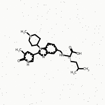 Cc1cc(-c2nc3cc(CN[C@@H](CCC(C)C)C(=O)O)ccc3n2C2CCN(C)CC2)c[nH]c1=O